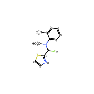 O=C(O)N(c1ccccc1[N+](=O)[O-])C(F)c1nccs1